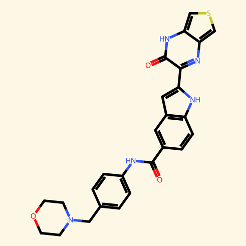 O=C(Nc1ccc(CN2CCOCC2)cc1)c1ccc2[nH]c(-c3nc4cscc4[nH]c3=O)cc2c1